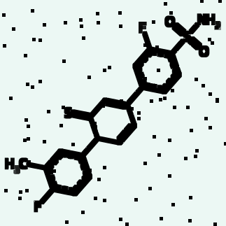 Cc1cc(C2C=CC(c3ccc(S(N)(=O)=O)c(F)c3)=CC2=S)ccc1F